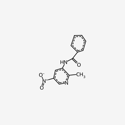 Cc1ncc([N+](=O)[O-])cc1NC(=O)c1ccccc1